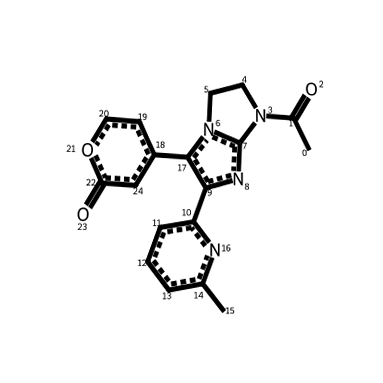 CC(=O)N1CCn2c1nc(-c1cccc(C)n1)c2-c1ccoc(=O)c1